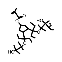 C=C(C)C(=O)OC1CC(C(CC)(CC)OC(C)(C)C(C)(C)O)C(C(CC)(CC)OC(C)(C)C(C)(O)C(F)(F)F)C1